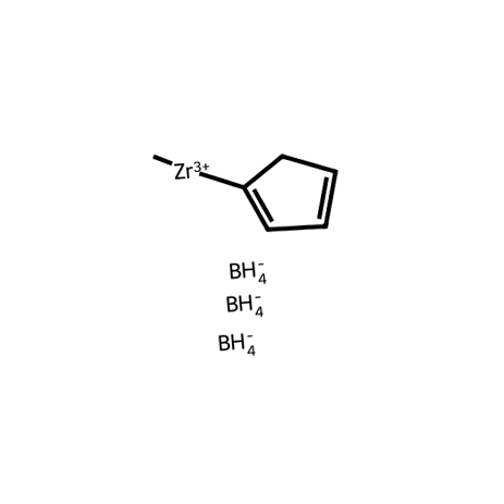 [BH4-].[BH4-].[BH4-].[CH3][Zr+3][C]1=CC=CC1